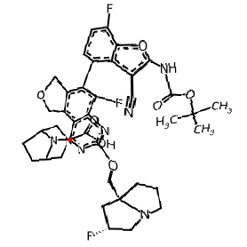 CC(C)(C)OC(=O)Nc1oc2c(F)ccc(-c3c4c(c5c(N6C7CCC6CN(C(=O)O)C7)nc(OC[C@@]67CCCN6C[C@H](F)C7)nc5c3F)COC4)c2c1C#N